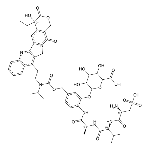 CC[C@@]1(O)C(=O)OCc2c1cc1n(c2=O)Cc2c-1nc1ccccc1c2CCN(C(=O)OCc1ccc(NC(=O)[C@H](C)NC(=O)[C@@H](NC(=O)[C@@H](N)CS(=O)(=O)O)C(C)C)c(OC2OC(C(=O)O)C(O)C(O)C2O)c1)C(C)C